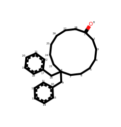 O=C1CCCCCCC(Cc2ccccc2)(Cc2ccccc2)CCCCCC1